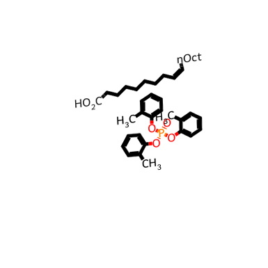 CCCCCCCC/C=C\CCCCCCCC(=O)O.Cc1ccccc1OP(=O)(Oc1ccccc1C)Oc1ccccc1C